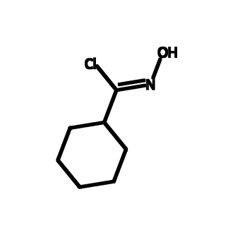 ON=C(Cl)C1CCCCC1